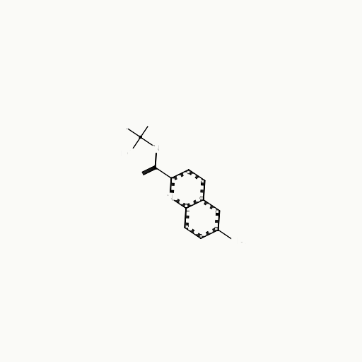 CC(C)(S)NC(=O)c1ccc2cc(C(C)(C)C)ccc2n1